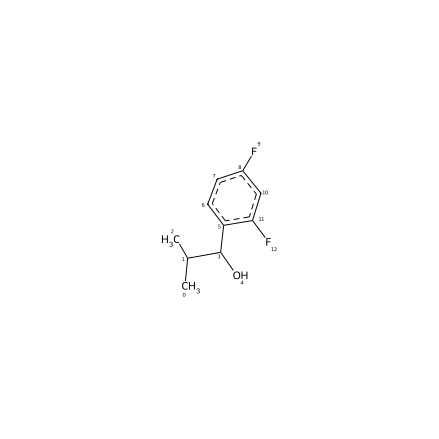 CC(C)C(O)c1ccc(F)cc1F